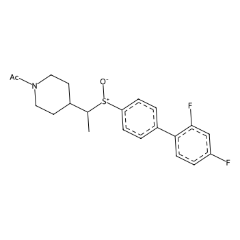 CC(=O)N1CCC(C(C)[S+]([O-])c2ccc(-c3ccc(F)cc3F)cc2)CC1